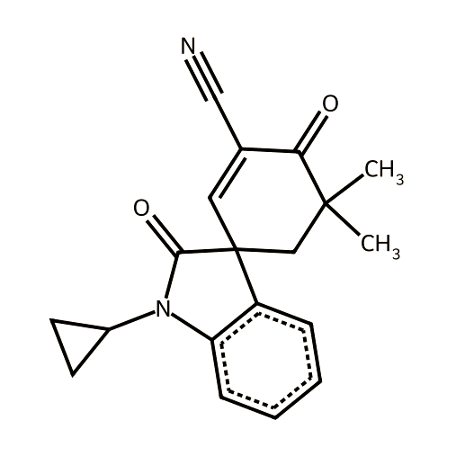 CC1(C)CC2(C=C(C#N)C1=O)C(=O)N(C1CC1)c1ccccc12